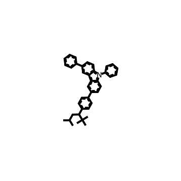 CC(C)CC(c1ccc(-c2ccc3c(c2)c2cc(-c4ccccc4)ccc2n3-c2ccccc2)cc1)C(C)(C)C